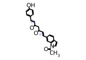 CC(=O)n1ccc2ccc(/C=C/C(=O)CC(=O)/C=C/c3ccc(O)cc3)cc21